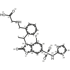 CC(c1ccccc1CNCC(=O)O)n1c(=O)oc2cc(S(=O)(=O)Nc3nccs3)cc(F)c21